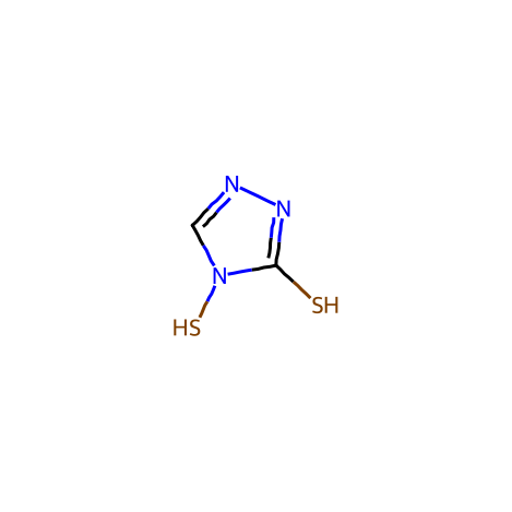 Sc1nncn1S